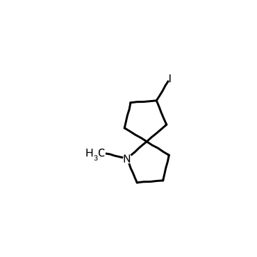 CN1CCCC12CCC(I)C2